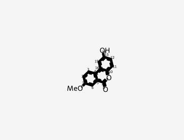 COc1ccc2c(c1)c(=O)oc1ccc(O)cc12